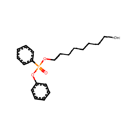 CCCCCCCCCCCCCCCCCCOP(=O)(Oc1ccccc1)c1ccccc1